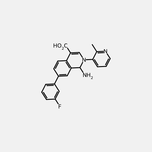 Cc1ncccc1N1C=C(C(=O)O)c2ccc(-c3cccc(F)c3)cc2C1N